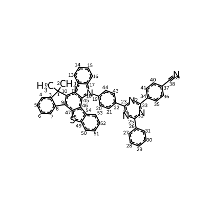 CC1(C)c2ccccc2-c2c1c1c3ccccc3n(-c3ccc(-c4nc(-c5ccccc5)nc(-c5ccc(C#N)cc5)n4)cc3)c1c1c2sc2ccccc21